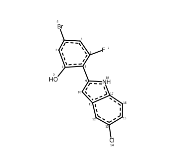 Oc1cc(Br)cc(F)c1-c1cc2cc(Cl)ccc2[nH]1